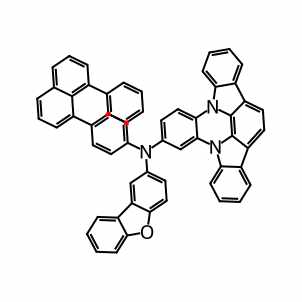 c1ccc(-c2cccc3cccc(-c4ccc(N(c5ccc6oc7ccccc7c6c5)c5ccc6c(c5)n5c7ccccc7c7ccc8c9ccccc9n6c8c75)cc4)c23)cc1